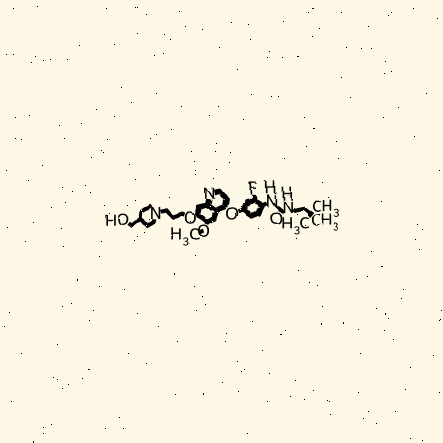 COc1cc2c(Oc3ccc(NC(=O)NCCC(C)(C)C)c(F)c3)ccnc2cc1OCCCN1CCC(CO)CC1